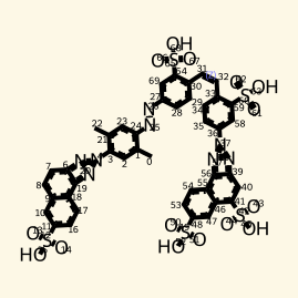 Cc1cc(-n2n3c4ccc5cc(S(=O)(=O)O)ccc5c4n23)c(C)cc1N=Nc1ccc(/C=C\c2ccc(-n3n4c5cc(S(=O)(=O)O)c6cc(S(=O)(=O)O)ccc6c5n34)cc2S(=O)(=O)O)c(S(=O)(=O)O)c1